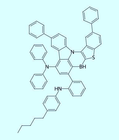 CCCCCc1ccc(Nc2ccccc2-c2cc(N(c3ccccc3)c3ccccc3)c3c4cc(-c5ccccc5)ccc4n4c3c2Bc2sc3ccc(-c5ccccc5)cc3c2-4)cc1